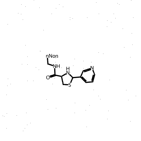 CCCCCCCCCCNC(=O)C1CSC(c2cccnc2)N1